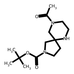 CC(=O)N1CCNC2(CCN(C(=O)OC(C)(C)C)C2)C1